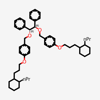 CCCC1CCCCC1CCCOc1ccc(CO[C@H](c2ccccc2)[C@H](OCc2ccc(OCCCC3CCCCC3CCC)cc2)c2ccccc2)cc1